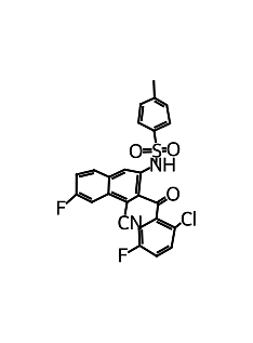 Cc1ccc(S(=O)(=O)Nc2cc3ccc(F)cc3c(C#N)c2C(=O)c2cc(F)ccc2Cl)cc1